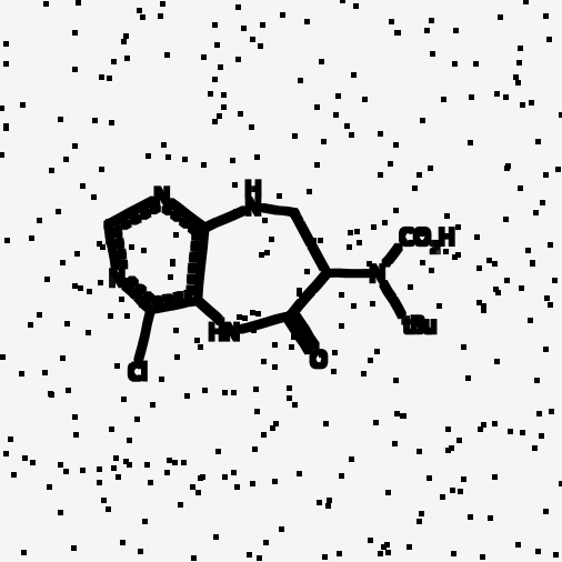 CC(C)(C)N(C(=O)O)C1CNc2ncnc(Cl)c2NC1=O